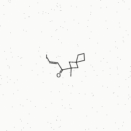 CC1(C(=O)C=CI)CC2(CCC2)C1